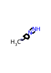 C/C=C/c1ccc(N2CCNCC2)cc1